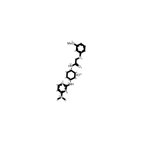 COc1cccc(OCC(=O)N[C@H]2CC[C@@H](Nc3nccc(N(C)C)n3)CC2)c1.Cl